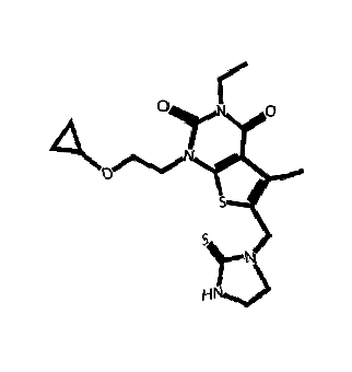 CCn1c(=O)c2c(C)c(CN3CCNC3=S)sc2n(CCOC2CC2)c1=O